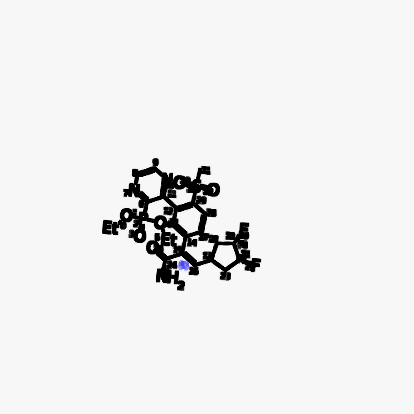 CCOP(=O)(OCC)c1nccnc1-c1cc(/C(=C\C2C[C@@H](F)[C@@H](F)C2)C(N)=O)ccc1S(C)(=O)=O